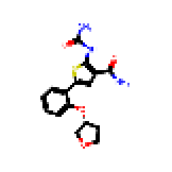 NC(=O)Nc1sc(-c2ccccc2O[C@@H]2CCOC2)cc1C(N)=O